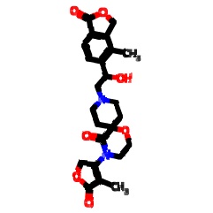 CC1=C(N2CCOC3(CCN(CC(O)c4ccc5c(c4C)COC5=O)CC3)C2=O)COC1=O